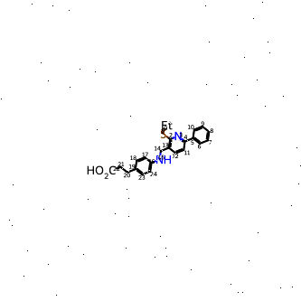 CCSc1nc(-c2ccccc2)ccc1CNc1ccc(CCC(=O)O)cc1